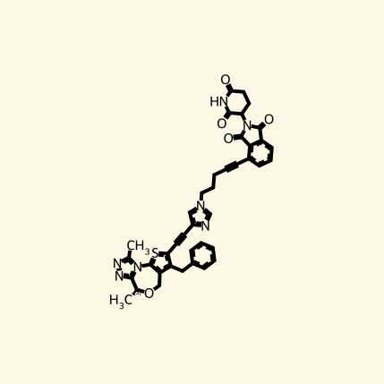 Cc1nnc2n1-c1sc(C#Cc3cn(CCCC#Cc4cccc5c4C(=O)N(C4CCC(=O)NC4=O)C5=O)cn3)c(Cc3ccccc3)c1CO[C@H]2C